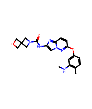 CNc1cc(Oc2ccc3nc(NC(=O)N4CC5(COC5)C4)cn3n2)ccc1C